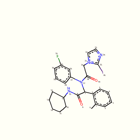 Cc1ccccc1C(C(=O)NC1CCCCC1)N(C(=O)Cn1ccnc1I)c1cccc(F)c1